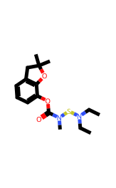 CCN(CC)SN(C)C(=O)Oc1cccc2c1OC(C)(C)C2